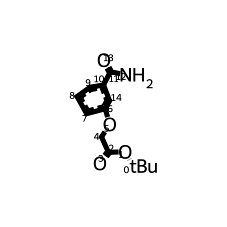 CC(C)(C)OC(=O)COc1cccc(C(N)=O)c1